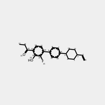 C=CC1CCC(c2ccc(-c3ccc(C(=O)CC)c(O)c3F)cc2)CC1